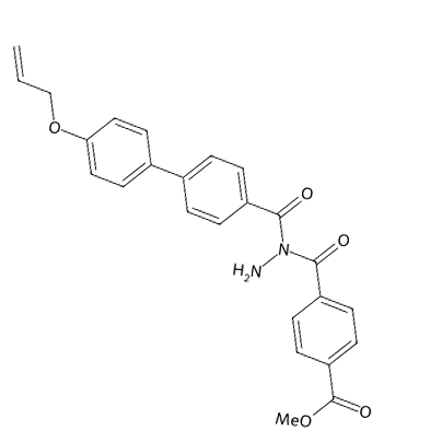 C=CCOc1ccc(-c2ccc(C(=O)N(N)C(=O)c3ccc(C(=O)OC)cc3)cc2)cc1